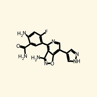 NC(=O)c1cc(-c2ncc(-c3cn[nH]c3)c3onc(N)c23)c(F)cc1N